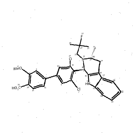 COc1cc(-c2cc(Cl)c([C@@H]3c4[nH]c5ccccc5c4C[C@@H](C)N3CC(C)(C)F)c(Cl)c2)ccc1C(=O)O